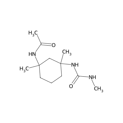 CNC(=O)NC1(C)CCCC(C)(NC(C)=O)C1